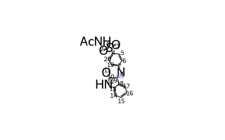 CC(=O)NS(=O)(=O)c1ccc(/N=C2\C(=O)Nc3ccccc32)cc1